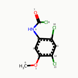 COc1cc(NC(=O)Cl)c(Cl)cc1Cl